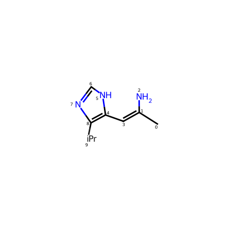 C/C(N)=C/c1[nH]cnc1C(C)C